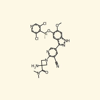 COc1cc2[nH]nc(-c3cnc(N4CC(N)(C(=O)N(C)C)C4)c(C#N)c3)c2cc1O[C@H](C)c1c(Cl)cncc1Cl